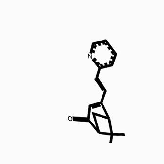 CC1(C)C2CC1C(/C=C/c1ccccn1)=CC2=O